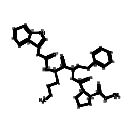 CCCC[C@@H](NC(=O)Cc1c[nH]c2ccccc12)C(=O)N(CCc1ccccc1)CC(=O)N1CCC[C@@H]1C(=O)OC